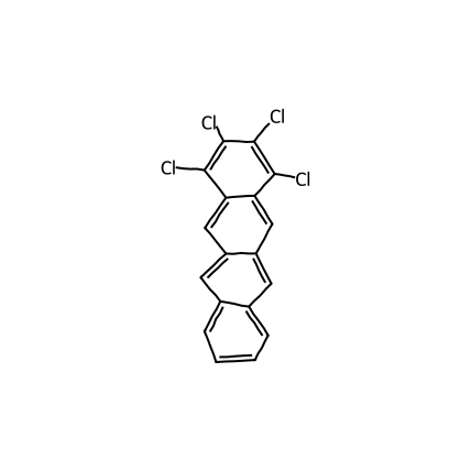 Clc1c(Cl)c(Cl)c2cc3cc4ccccc4cc3cc2c1Cl